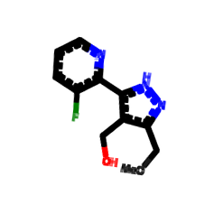 COCc1n[nH]c(-c2ncccc2F)c1CO